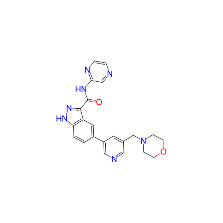 O=C(Nc1cnccn1)c1n[nH]c2ccc(-c3cncc(CN4CCOCC4)c3)cc12